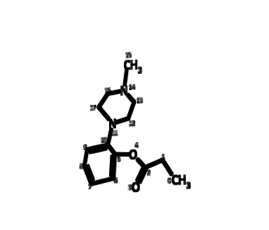 CCC(=O)Oc1ccccc1N1CCN(C)CC1